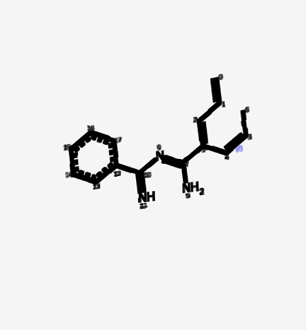 C=CC=C(/C=C\C)C(N)=NC(=N)c1ccccc1